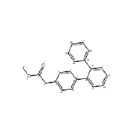 COC(=O)Cc1ccc(-c2ccccc2-c2ccccc2)cc1